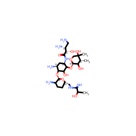 CC(O)C(=N)NC[C@@H]1CCC(N)[C@@H](OC2C(O)C(O[C@H]3OCC(C)(O)[C@H](C)C3O)[C@H](NC(=O)[C@@H](O)[C@H](N)CN)C[C@@H]2N)O1